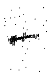 O=C(O)CCCCNC(=O)CCCC[C@@H]1SC[C@@H]2NC(=O)N[C@@H]21